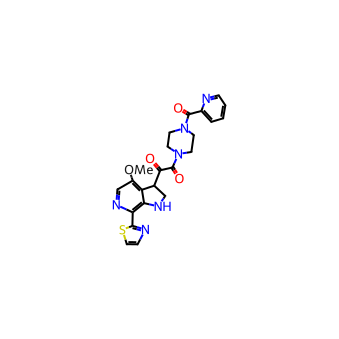 COc1cnc(-c2nccs2)c2c1C(C(=O)C(=O)N1CCN(C(=O)c3ccccn3)CC1)CN2